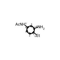 CCc1ccc(NC(C)=O)cc1N